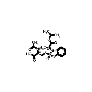 CC(=O)N[C@@H](CSP(=O)(N[C@@H](C)C(=O)OC(C)C)Oc1ccccc1)C(=O)O